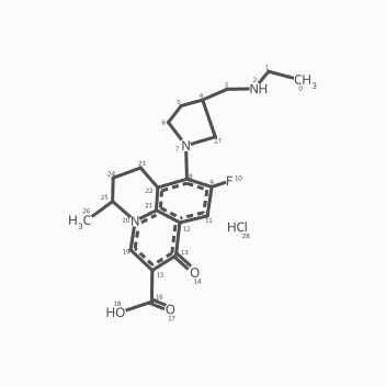 CCNCC1CCN(c2c(F)cc3c(=O)c(C(=O)O)cn4c3c2CCC4C)C1.Cl